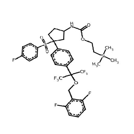 C[Si](C)(C)CCOC(=O)NC1CCC(c2ccc(C(OCc3c(F)cccc3F)(C(F)(F)F)C(F)(F)F)cc2)(S(=O)(=O)c2ccc(F)cc2)C1